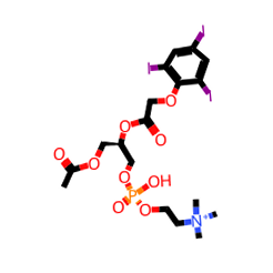 CC(=O)OC[C@H](COP(=O)(O)OCC[N+](C)(C)C)OC(=O)COc1c(I)cc(I)cc1I